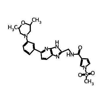 CC1CN(c2cccc(-c3ccc4nc(CNC(=O)c5ccn(S(C)(=O)=O)c5)[nH]c4n3)c2)C[C@@H](C)O1